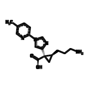 Cc1ccc(-n2cnc([C@@]3(C(=O)O)C[C@@H]3CCCN)c2)nc1